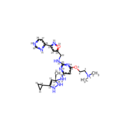 CN(C)CCOc1cc(N[C@@]2(C)C=C(C3CC3)NN2)nc(NCc2cc(-c3ccncn3)no2)n1